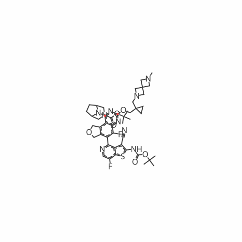 CN1CC2(C1)CN(CC1(COc3nc(N4C5CCC4CN(C(=O)OC(C)(C)C)C5)c4c5c(c(-c6ncc(F)c7sc(NC(=O)OC(C)(C)C)c(C#N)c67)c(F)c4n3)COC5)CC1)C2